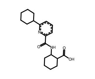 O=C(NC1CCCCC1C(=O)O)c1cccc(C2CCCCC2)n1